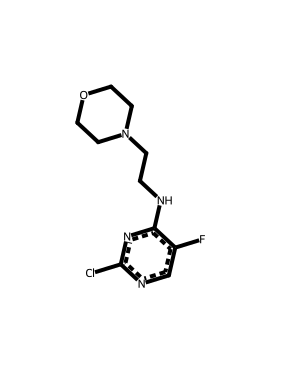 Fc1cnc(Cl)nc1NCCN1CCOCC1